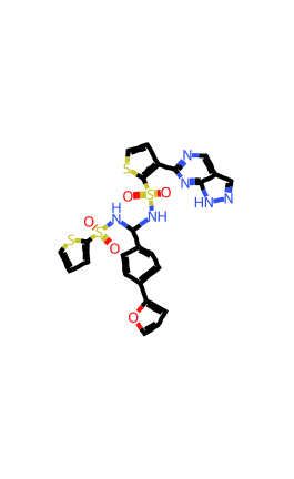 O=S(=O)(NC(NS(=O)(=O)c1sccc1-c1ncc2cn[nH]c2n1)c1ccc(-c2ccco2)cc1)c1cccs1